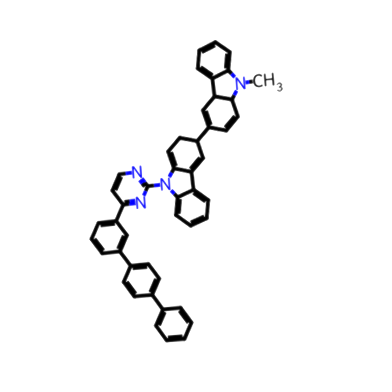 CN1c2ccccc2C2C=C(C3C=c4c(n(-c5nccc(-c6cccc(-c7ccc(-c8ccccc8)cc7)c6)n5)c5ccccc45)=CC3)C=CC21